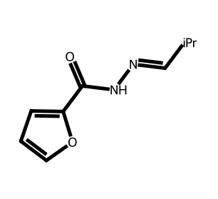 CC(C)/C=N/NC(=O)c1ccco1